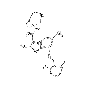 Cc1cc(OCc2c(F)cccc2F)c2nc(C)c(C(=O)NC34CCC3CNC4)n2c1